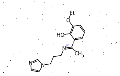 CCOc1cccc(/C(C)=N/CCCn2ccnc2)c1O